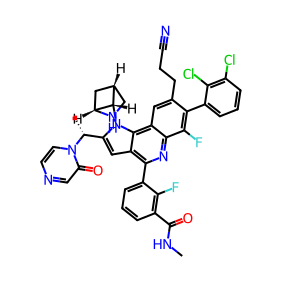 CNC(=O)c1cccc(-c2nc3c(F)c(-c4cccc(Cl)c4Cl)c(CCC#N)cc3c3c2cc([C@@H](C)n2ccncc2=O)n3[C@H]2[C@H]3CN[C@@H]2C3)c1F